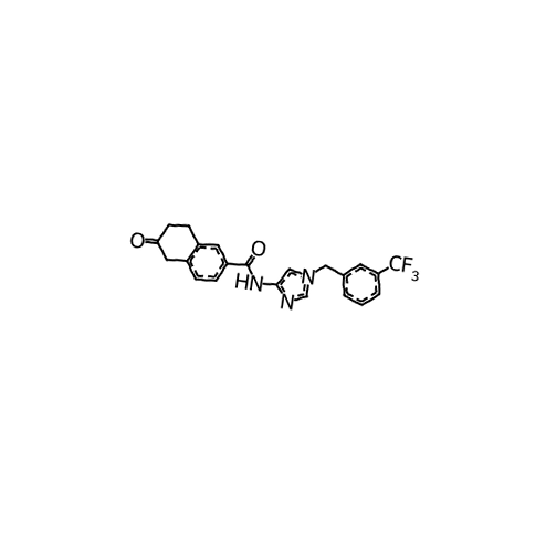 O=C1CCc2cc(C(=O)Nc3cn(Cc4cccc(C(F)(F)F)c4)cn3)ccc2C1